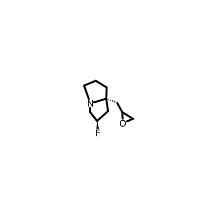 F[C@H]1CN2CCC[C@@]2(CC2CO2)C1